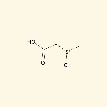 C[S+]([O-])CC(=O)O